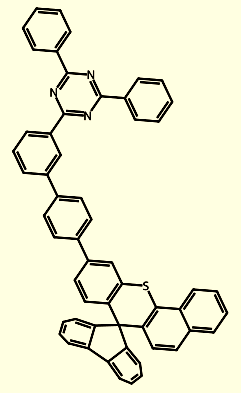 c1ccc(-c2nc(-c3ccccc3)nc(-c3cccc(-c4ccc(-c5ccc6c(c5)Sc5c(ccc7ccccc57)C65c6ccccc6-c6ccccc65)cc4)c3)n2)cc1